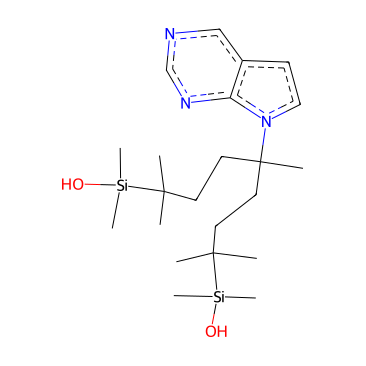 CC(CCC(C)(C)[Si](C)(C)O)(CCC(C)(C)[Si](C)(C)O)n1ccc2cncnc21